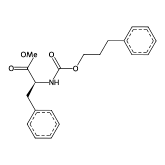 COC(=O)[C@H](Cc1ccccc1)NC(=O)OCCCc1ccccc1